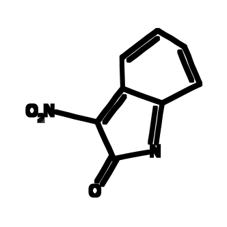 O=C1N=c2ccccc2=C1[N+](=O)[O-]